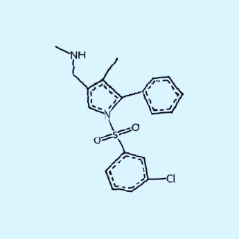 CNCc1cn(S(=O)(=O)c2cccc(Cl)c2)c(-c2ccccc2)c1C